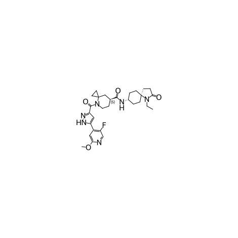 CCN1C(=O)CC[C@]12CC[C@@H](NC(=O)[C@H]1CCN(C(=O)c3cc(-c4cc(OC)ncc4F)[nH]n3)C3(CC3)C1)CC2